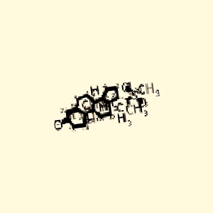 CC([C@H]1CC[C@H]2[C@@H]3CCC4=CC(=O)CC[C@]4(C)[C@H]3CC[C@]12C)S(C)(=O)=O